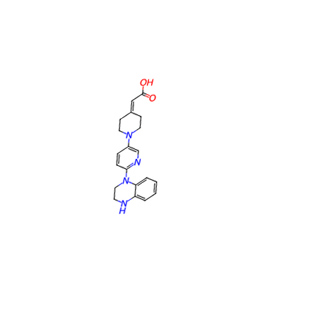 O=C(O)C=C1CCN(c2ccc(N3CCNc4ccccc43)nc2)CC1